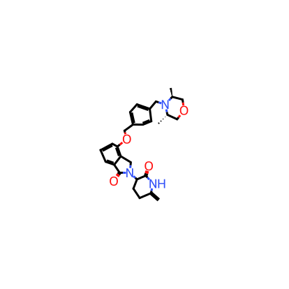 C=C1CCC(N2Cc3c(OCc4ccc(CN5[C@@H](C)COC[C@@H]5C)cc4)cccc3C2=O)C(=O)N1